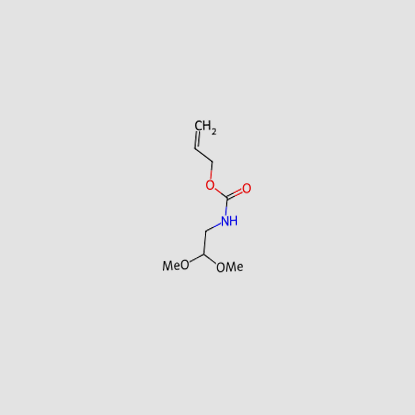 C=CCOC(=O)NCC(OC)OC